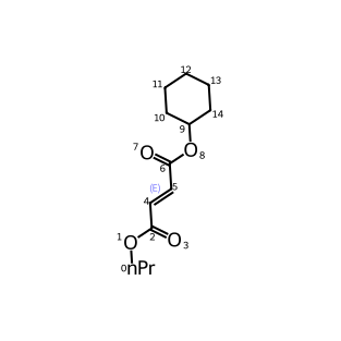 CCCOC(=O)/C=C/C(=O)OC1CCCCC1